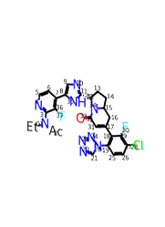 CCN(C(C)=O)c1nccc(-c2cnc([C@@H]3CCC4CC(c5c(-n6cnnn6)ccc(Cl)c5F)=CC(=O)N43)[nH]2)c1F